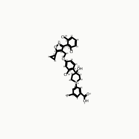 O=C(O)c1cc(F)cc(N2CCC(O)(c3ccc(OCc4c(-c5c(Cl)cccc5Cl)noc4C4CC4)cc3Cl)CC2)c1